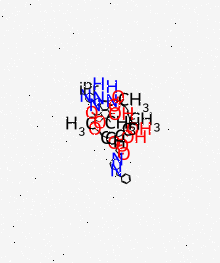 C/C1=C/C=C/C(C)[C@H](O)CC(O)C[C@H](OC(=O)CC(=O)N2CCCN(Cc3ccccc3)CC2)CC/C=C/O[C@@]2(C)Oc3c(C)c(O)c4c(c3C2=O)C2=NC3(CCN(CC(C)C)CC3)NC2=C(NC1=O)C4=O